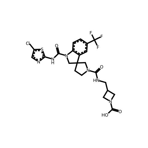 O=C(O)N1CC(CNC(=O)N2CCC3(C2)CN(C(=O)Nc2ncc(Cl)s2)c2ccc(C(F)(F)F)cc23)C1